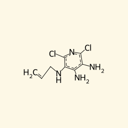 C=CCNc1c(Cl)nc(Cl)c(N)c1N